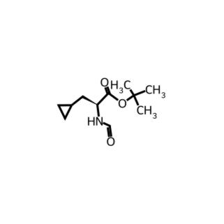 CC(C)(C)OC(=O)[C@H](CC1CC1)NC=O